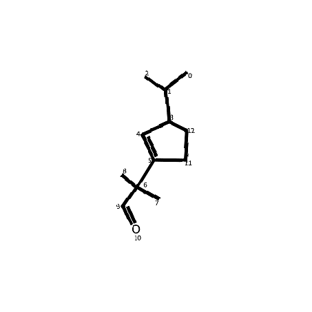 CC(C)C1C=C(C(C)(C)C=O)CC1